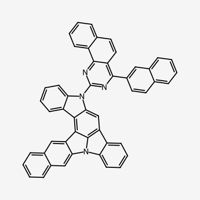 c1ccc2cc(-c3nc(-n4c5ccccc5c5c6c7cc8ccccc8cc7n7c8ccccc8c(cc54)c67)nc4c3ccc3ccccc34)ccc2c1